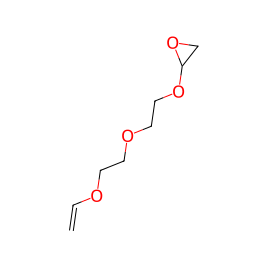 C=COCCOCCOC1CO1